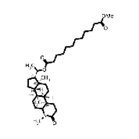 COC(=O)CCCCCCCCCCC(=O)OC(C)[C@H]1CC[C@H]2[C@@H]3CCC4N(C)C(=O)CC[C@]4(C)[C@H]3CC[C@]12C